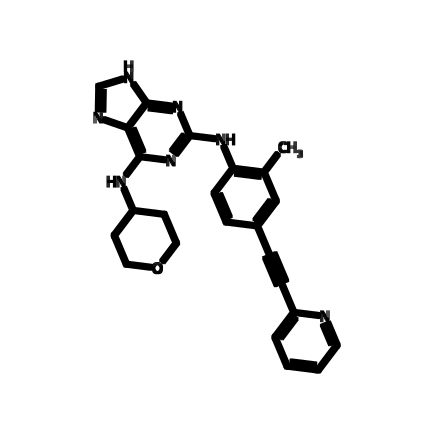 Cc1cc(C#Cc2ccccn2)ccc1Nc1nc(NC2CCOCC2)c2nc[nH]c2n1